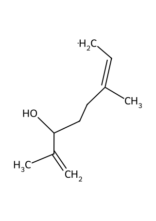 [CH2]C=C(C)CCC(O)C(=C)C